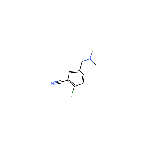 CN(C)Cc1ccc(Cl)c(C#N)c1